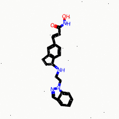 O=C(C=Cc1ccc2c(c1)CCC2NCCn1ncc2ccccc21)NO